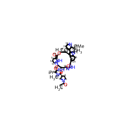 C=CC(=O)N1CC[C@H](C(=O)N(C)[C@H](C(=O)N[C@H]2CC3=NNC(O3)c3ccc4c(c3)c(c(-c3cccnc3[C@H](C)OC)n4CC)CC(C)(C)COC(=O)[C@@H]3CCCN(N3)C2=O)C(C)C)C1